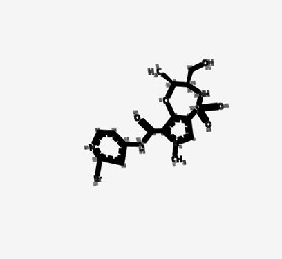 C[C@@H]1Oc2c(cn(C)c2C(=O)Nc2ccnc(Br)c2)S(=O)(=O)N[C@@H]1CO